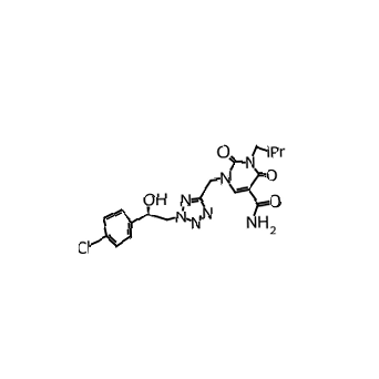 CC(C)Cn1c(=O)c(C(N)=O)cn(Cc2nnn(C[C@H](O)c3ccc(Cl)cc3)n2)c1=O